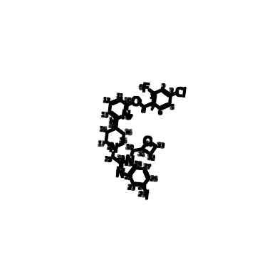 Fc1cc(Cl)ccc1COc1cccc(C2CCN(Cc3nc4cc(I)ccc4n3CC3CCO3)CC2)n1